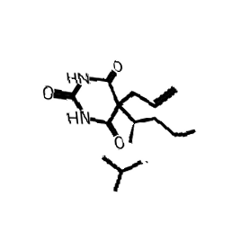 C=CCC1([C@H](C)CCC)C(=O)NC(=O)NC1=O.[CH2]C(C)C